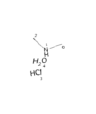 CNC.Cl.O